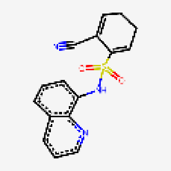 N#CC1=CCCC=C1S(=O)(=O)Nc1cccc2cccnc12